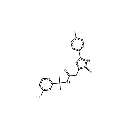 CC(C)(NC(=O)Cn1cc(-c2ccc(Cl)cc2)[nH]c1=O)c1cccc(C(F)(F)F)c1